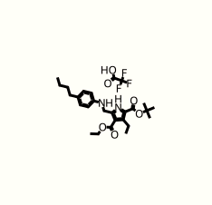 CCCCc1ccc(NCc2[nH]c(C(=O)OC(C)(C)C)c(CC)c2C(=O)OCC)cc1.O=C(O)C(F)(F)F